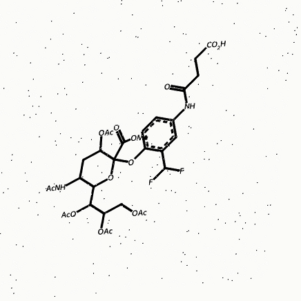 COC(=O)C1(Oc2ccc(NC(=O)CCC(=O)O)cc2C(F)F)OC(C(OC(C)=O)C(COC(C)=O)OC(C)=O)C(NC(C)=O)CC1OC(C)=O